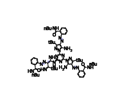 CCCCNC(=O)c1ccccc1/N=N/C(C(=N)C(C)(C)C)=C(\N)Nc1nc(-n2nc(C(C)(C)C)c(/N=N/c3ccccc3C(=O)NCCCC)c2N)nc(-n2nc(C(C)(C)C)c(/N=N/c3ccccc3C(=O)NCCCC)c2N)n1